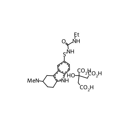 CCNC(=O)NSc1ccc2[nH]c3c(c2c1)CC(NC)CC3.O=C(O)CC(O)(CC(=O)O)C(=O)O